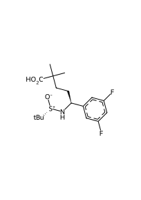 CC(C)(CC[C@H](N[S@@+]([O-])C(C)(C)C)c1cc(F)cc(F)c1)C(=O)O